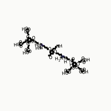 CNCCCc1c(OCCCC/C(N)=C/NCCCNC(=O)c2cc(OCCCS(=O)(=O)O)c(OCCCS(=O)(=O)O)c(OCCCS(=O)(=O)O)c2)cc(C(C)=O)cc1OCCCC/C(=C/NCCCNC(=O)c1cc(OCCCS(=O)(=O)O)c(OCCCS(=O)(=O)O)c(OCCCS(=O)(=O)O)c1)N=N